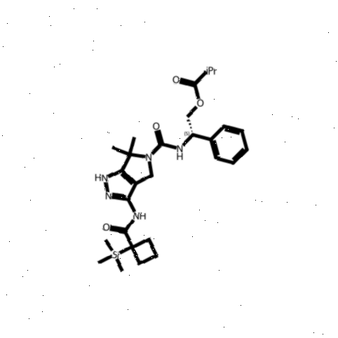 CC(C)C(=O)OC[C@@H](NC(=O)N1Cc2c(NC(=O)C3([Si](C)(C)C)CCC3)n[nH]c2C1(C)C)c1ccccc1